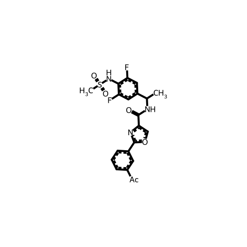 CC(=O)c1cccc(-c2nc(C(=O)NC(C)c3cc(F)c(NS(C)(=O)=O)c(F)c3)co2)c1